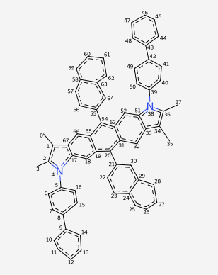 Cc1c(C)n(-c2ccc(-c3ccccc3)cc2)c2cc3c(-c4ccc5ccccc5c4)c4cc5c(C)c(C)n(-c6ccc(-c7ccccc7)cc6)c5cc4c(-c4ccc5ccccc5c4)c3cc12